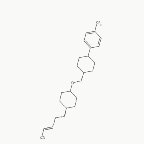 N#CC=CCCC1CCC(OCC2CCC(c3ccc(C(F)(F)F)cc3)CC2)CC1